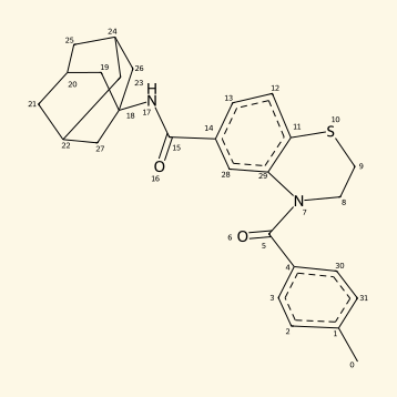 Cc1ccc(C(=O)N2CCSc3ccc(C(=O)NC45CC6CC(CC(C6)C4)C5)cc32)cc1